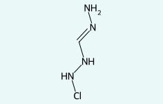 NN=CNNCl